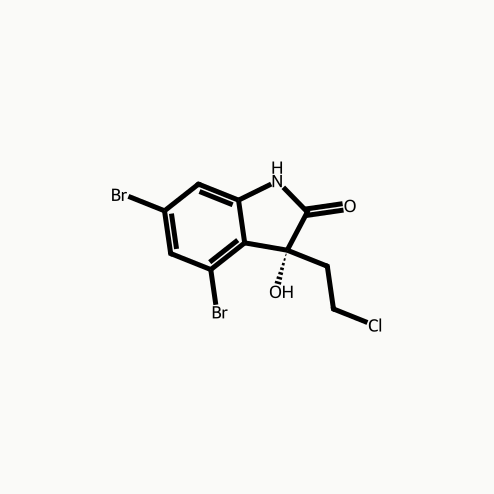 O=C1Nc2cc(Br)cc(Br)c2[C@]1(O)CCCl